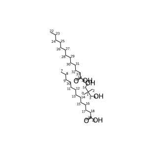 CC(C)(CO)CO.CCCCCCCCCCCCC(=O)O.CCCCCCCCCCCCC(=O)O